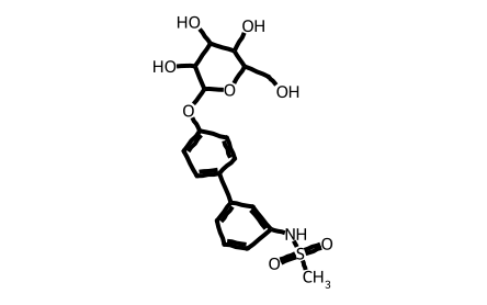 CS(=O)(=O)Nc1cccc(-c2ccc(OC3OC(CO)C(O)C(O)C3O)cc2)c1